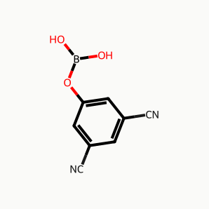 N#Cc1cc(C#N)cc(OB(O)O)c1